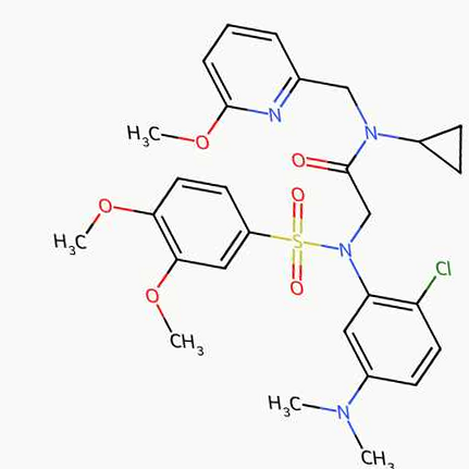 COc1cccc(CN(C(=O)CN(c2cc(N(C)C)ccc2Cl)S(=O)(=O)c2ccc(OC)c(OC)c2)C2CC2)n1